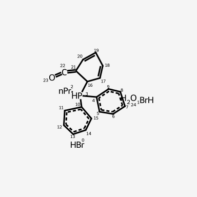 Br.Br.CCC[PH](c1ccccc1)(c1ccccc1)C1C=CC=CC1=C=O.O